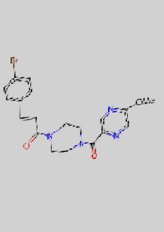 COc1cnc(C(=O)N2CCN(C(=O)/C=C/c3ccc(Br)cc3)CC2)cn1